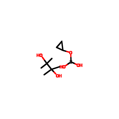 CC(C)(O)C(C)(C)O.OB(O)OC1CC1